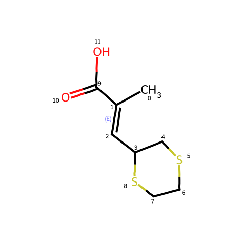 C/C(=C\C1CSCCS1)C(=O)O